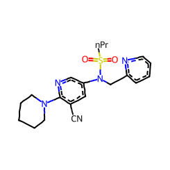 CCCS(=O)(=O)N(Cc1ccccn1)c1cnc(N2CCCCC2)c(C#N)c1